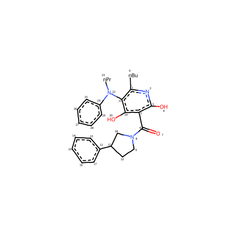 CCCCc1nc(O)c(C(=O)N2CCC(c3ccccc3)C2)c(O)c1N(CCC)c1ccccc1